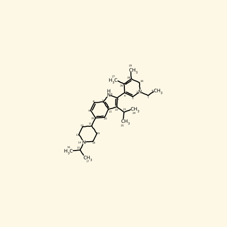 CCN1C=C(c2[nH]c3ccc(C4CCN(C(C)C)CC4)cc3c2C(C)C)C(C)=C(C)C1